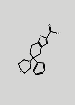 O=C(O)c1cc2c(s1)CCC(c1ccccc1)(N1CCOCC1)C2